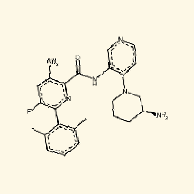 Cc1cccc(C)c1-c1nc(C(=O)Nc2cnccc2N2CCC[C@H](N)C2)c(N)cc1F